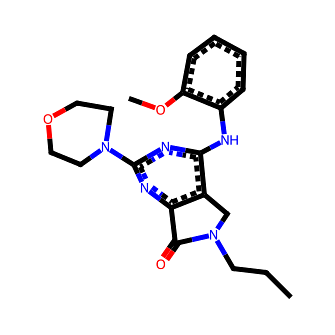 CCCN1Cc2c(Nc3ccccc3OC)nc(N3CCOCC3)nc2C1=O